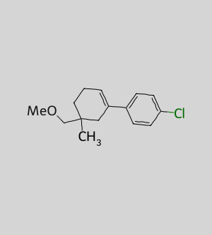 COCC1(C)CCC=C(c2ccc(Cl)cc2)C1